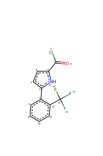 O=C(Cl)c1ccc(-c2ccccc2C(F)(F)F)[nH]1